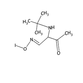 CC(=O)C(C=NOI)NC(C)(C)C